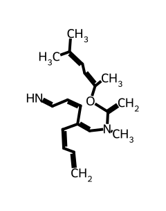 C=C/C=C\C(=CN(C)C(=C)O/C(C)=C/C=C(C)C)/C=C\C=N